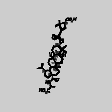 C=C(C)[C@@H]1CC[C@]2(C(=O)NC(C)C(=O)O)CC[C@]3(C)C(CC[C@@H]4[C@@]5(C)CC[C@H](OC(=O)C6C[C@@H](C(=O)O)C6(C)C)C(C)(C)[C@@H]5CC[C@]43C)C12